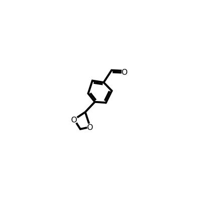 O=Cc1ccc(C2OCO2)cc1